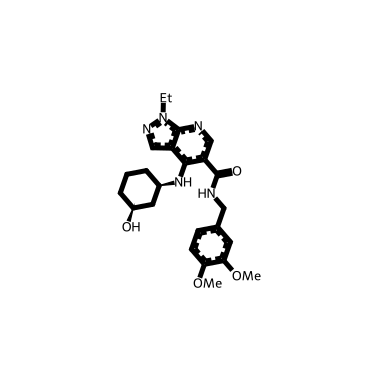 CCn1ncc2c(N[C@@H]3CCC[C@H](O)C3)c(C(=O)NCc3ccc(OC)c(OC)c3)cnc21